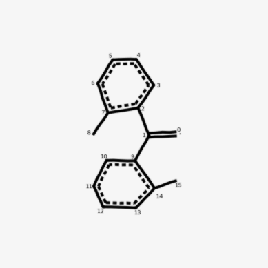 [CH]=C(c1ccccc1C)c1ccccc1C